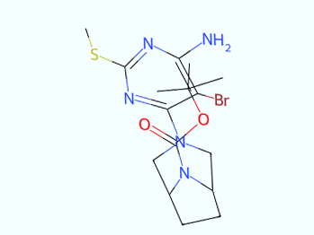 CSc1nc(N)c(Br)c(N2CC3CCC(C2)N3C(=O)OC(C)(C)C)n1